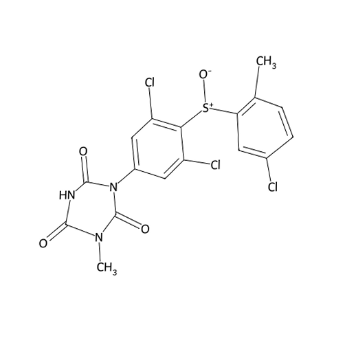 Cc1ccc(Cl)cc1[S+]([O-])c1c(Cl)cc(-n2c(=O)[nH]c(=O)n(C)c2=O)cc1Cl